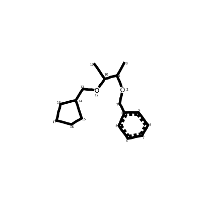 CC(OCc1ccccc1)C(C)OCC1CCCC1